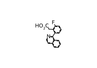 O=C(O)Cc1c(F)cccc1-c1nccc2ccccc12